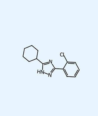 Clc1ccccc1-c1n[nH]c(C2CCCCC2)n1